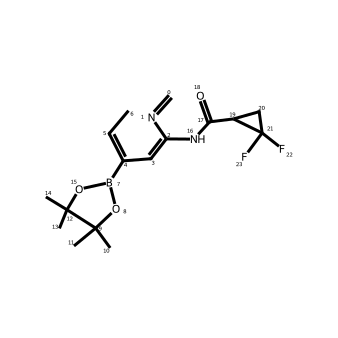 C=N/C(=C\C(=C/C)B1OC(C)(C)C(C)(C)O1)NC(=O)C1CC1(F)F